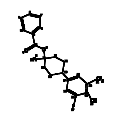 CCCC1(OC(=O)c2ccccc2)CCC(c2cc(F)c(C#N)c(C(F)(F)F)c2)CC1